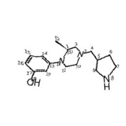 C[C@H]1CN(CC2CCNC2)CCN1c1cccc(O)c1